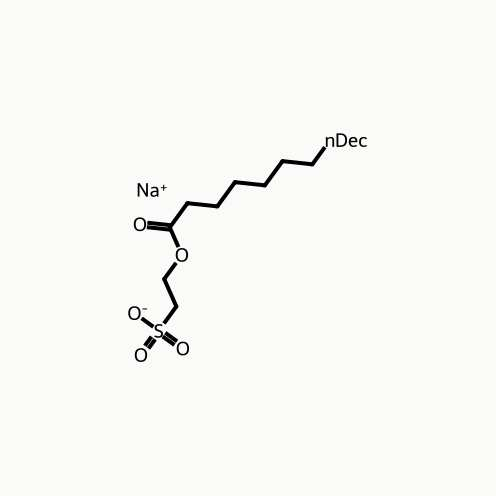 CCCCCCCCCCCCCCCCC(=O)OCCS(=O)(=O)[O-].[Na+]